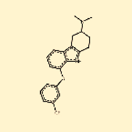 CN(C)C1CCc2[nH]c3c(Oc4cccc(C(F)(F)F)c4)cccc3c2C1